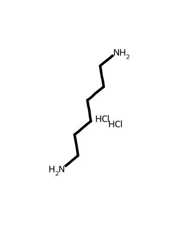 Cl.Cl.NCCCCCCN